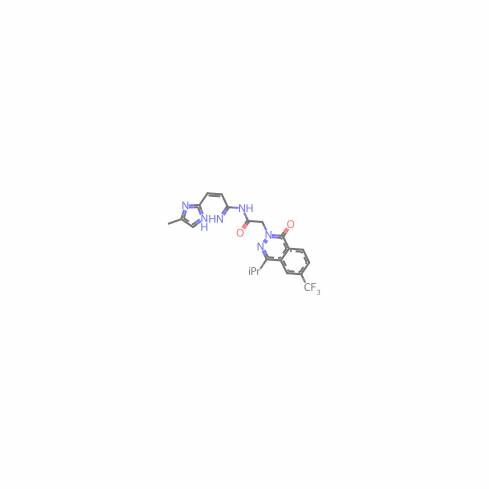 Cc1c[nH]c(/C=C\C(=N)NC(=O)Cn2nc(C(C)C)c3cc(C(F)(F)F)ccc3c2=O)n1